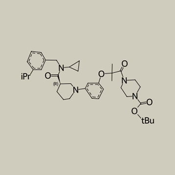 CC(C)c1cccc(CN(C(=O)[C@@H]2CCCN(c3cccc(OC(C)(C)C(=O)N4CCN(C(=O)OC(C)(C)C)CC4)c3)C2)C2CC2)c1